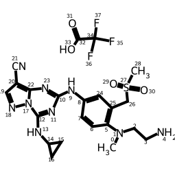 CN(CCN)c1ccc(Nc2nc(NC3CC3)n3ncc(C#N)c3n2)cc1CS(C)(=O)=O.O=C(O)C(F)(F)F